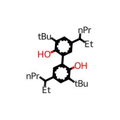 CCCC(CC)c1cc(-c2cc(C(CC)CCC)cc(C(C)(C)C)c2O)c(O)c(C(C)(C)C)c1